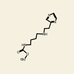 CC(C)(C)OC(=O)NCCCCNCCc1cnccn1